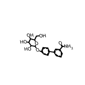 NC(=O)c1cccc(-c2ccc(OC3OC(CO)C(O)C(O)C3O)cc2)c1